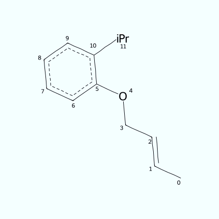 CC=CCOc1ccccc1C(C)C